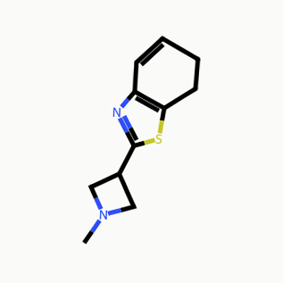 CN1CC(c2nc3c(s2)CCC=C3)C1